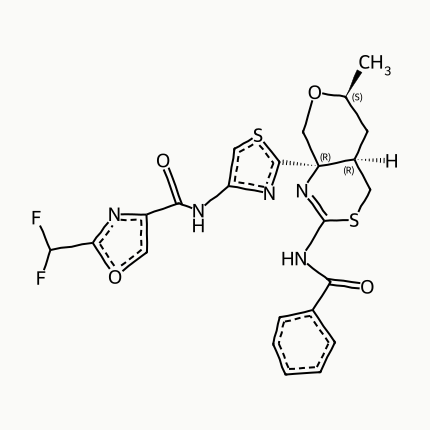 C[C@H]1C[C@H]2CSC(NC(=O)c3ccccc3)=N[C@@]2(c2nc(NC(=O)c3coc(C(F)F)n3)cs2)CO1